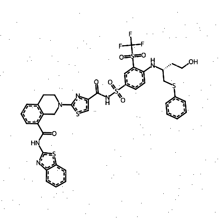 O=C(NS(=O)(=O)c1ccc(N[C@H](CCO)CSc2ccccc2)c(S(=O)(=O)C(F)(F)F)c1)c1csc(N2CCc3cccc(C(=O)Nc4nc5ccccc5s4)c3C2)n1